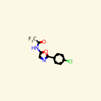 O=C(Nc1cnc(-c2ccc(Cl)cc2)o1)C(F)(F)F